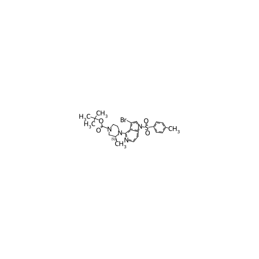 Cc1ccc(S(=O)(=O)n2cc(Br)c3c(N4CCN(C(=O)OC(C)(C)C)C[C@@H]4C)nccc32)cc1